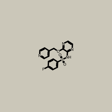 O=S(=O)(Nc1nccnc1OCc1ccncc1)c1ccc(F)cc1